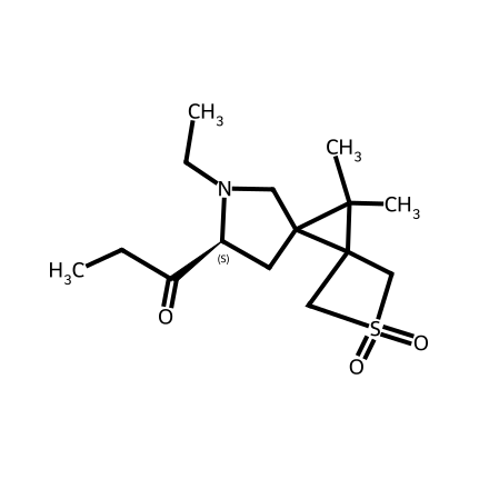 CCC(=O)[C@@H]1CC2(CN1CC)C(C)(C)C21CS(=O)(=O)C1